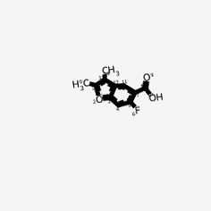 Cc1oc2cc(F)c(C(=O)O)cc2c1C